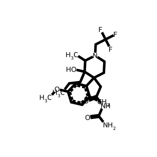 CCCC1(O)C(C)N(CC(F)(F)F)CCC1(CC(=O)NC(N)=O)c1cc(OC)ccc1C